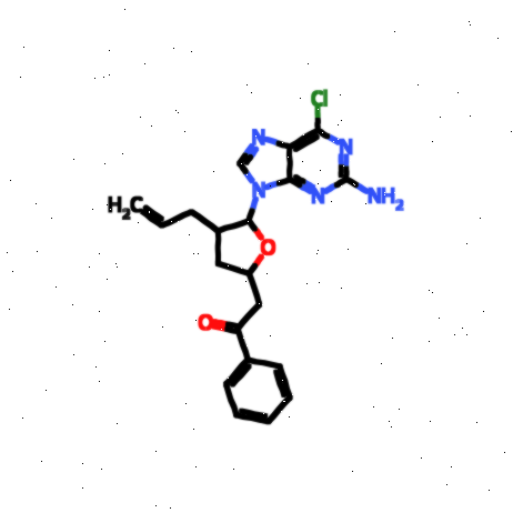 C=CCC1CC(CC(=O)c2ccccc2)OC1n1cnc2c(Cl)nc(N)nc21